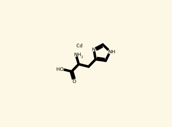 NC(Cc1c[nH]cn1)C(=O)O.[Cd]